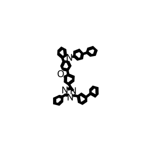 c1ccc(-c2ccc(-n3c4ccccc4c4cc5oc6cc(-c7nc(-c8ccccc8)nc(-c8cccc(-c9ccccc9)c8)n7)ccc6c5cc43)cc2)cc1